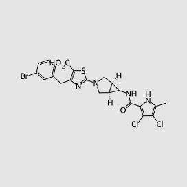 Cc1[nH]c(C(=O)NC2[C@H]3CN(c4nc(Cc5cccc(Br)c5)c(C(=O)O)s4)C[C@@H]23)c(Cl)c1Cl